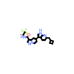 C[C@@H](NC(=O)c1cnn2ccc(-c3c[nH]c4nc(CC5CCC5)ccc34)cc12)C(F)(F)F